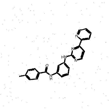 Cc1ccc(C(=O)Nc2cccc(Nc3nccc(-c4ccccn4)n3)c2)cc1